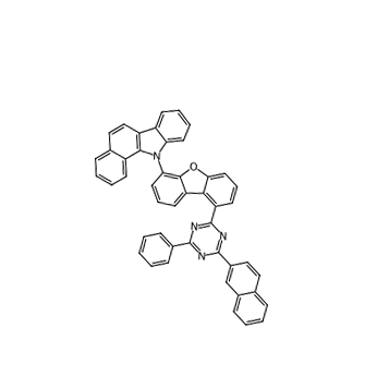 c1ccc(-c2nc(-c3ccc4ccccc4c3)nc(-c3cccc4oc5c(-n6c7ccccc7c7ccc8ccccc8c76)cccc5c34)n2)cc1